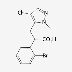 Cn1ncc(Cl)c1CC(C(=O)O)c1ccccc1Br